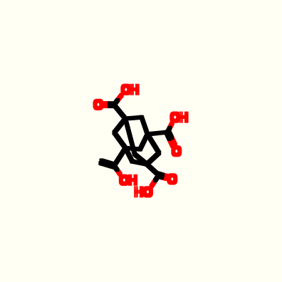 C=C(O)C12CC3(C(=O)O)CC(C(=O)O)(C1)CC(C(=O)O)(C2)C3